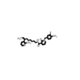 C/C=C(/CCCCCCNC(=O)c1cccn(Cc2ccc(C)c(F)c2)c1=O)c1cccnc1C